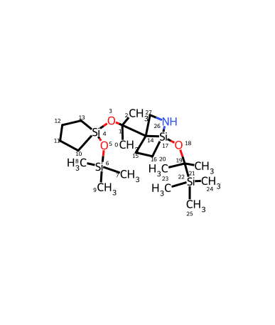 CC(C)(O[Si]1(O[Si](C)(C)C)CCCC1)C12CC[Si]1(OC(C)(C)[Si](C)(C)C)NC2